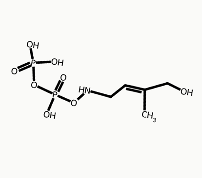 C/C(=C\CNOP(=O)(O)OP(=O)(O)O)CO